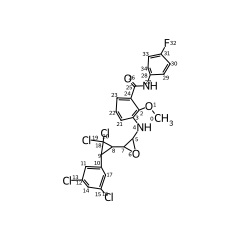 COc1c(NC2OC2C2C(c3cc(Cl)cc(Cl)c3)C2(Cl)Cl)cccc1C(=O)Nc1ccc(F)cc1